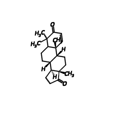 CC1(C)C(=O)C=C[C@@]2(C)C1CC[C@@H]1[C@H]2CC[C@]2(C)C(=O)CC[C@@H]12